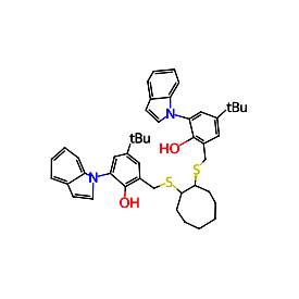 CC(C)(C)c1cc(CSC2CCCCCC[C@@H]2SCc2cc(C(C)(C)C)cc(-n3ccc4ccccc43)c2O)c(O)c(-n2ccc3ccccc32)c1